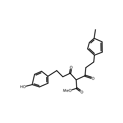 COC(=O)C(C(=O)CCc1ccc(C)cc1)C(=O)CCc1ccc(O)cc1